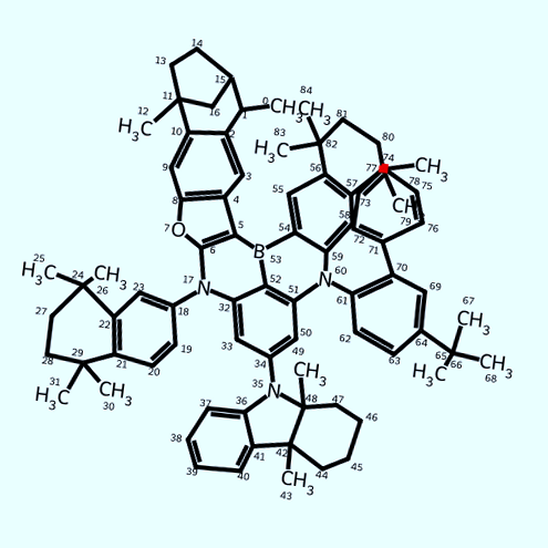 CC1c2cc3c4c(oc3cc2C2(C)CCC1C2)N(c1ccc2c(c1)C(C)(C)CCC2(C)C)c1cc(N2c3ccccc3C3(C)CCCCC23C)cc2c1B4c1cc3c(cc1N2c1ccc(C(C)(C)C)cc1-c1ccccc1)C(C)(C)CCC3(C)C